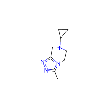 Cc1nnc2n1CCN(C1CC1)C2